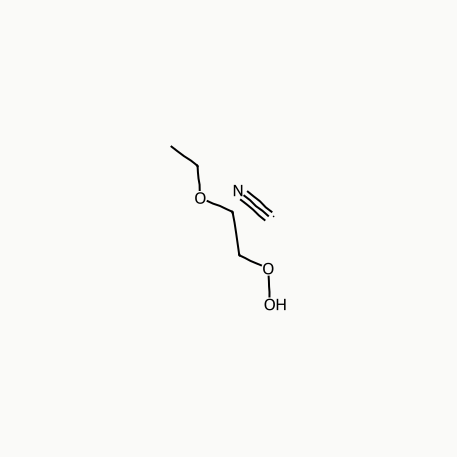 CCOCCOO.[C]#N